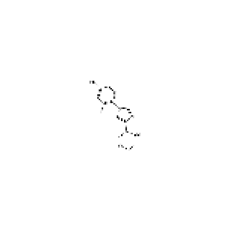 Fc1cc(Br)cnc1-n1cnc(C2COCCN2)c1